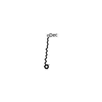 CCCCCCCCCCCCCCCCCCCCCCCCCCc1[c]cccc1